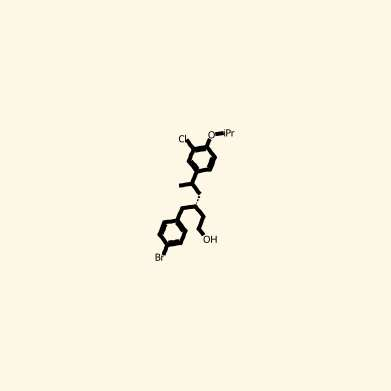 CC(C)Oc1ccc(C(C)C[C@H](CCO)Cc2ccc(Br)cc2)cc1Cl